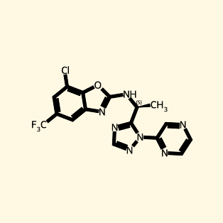 C[C@H](Nc1nc2cc(C(F)(F)F)cc(Cl)c2o1)c1ncnn1-c1cnccn1